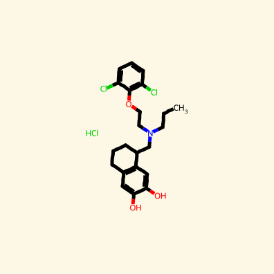 CCCN(CCOc1c(Cl)cccc1Cl)CC1CCCc2cc(O)c(O)cc21.Cl